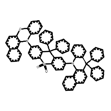 O=S1(=O)c2ccc(N3c4ccccc4Oc4ccc5ccccc5c43)cc2C(c2ccccc2)(c2ccccc2)c2cc(N3c4ccccc4C(c4ccccc4)(c4ccccc4)c4ccc5ccccc5c43)ccc21